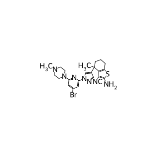 CN1CCN(c2cc(Br)cc(-n3cc(C4(C)CCCc5sc(N)c(C#N)c54)cn3)n2)CC1